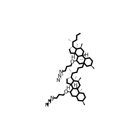 CCC[C@@H](C)[C@H]1CC[C@H]2C3[C@H](OCCCN=[N+]=[N-])CC4(CCC[C@@H](C)[C@H]5CC[C@H]6C7[C@H](OCCCN=[N+]=[N-])CC8C[C@H](C)CC[C@]8(C)[C@H]7C[C@H](C)[C@]56C)C[C@H](C)CC[C@]4(C)[C@H]3C[C@H](C)[C@]12C